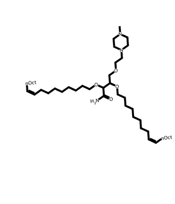 CCCCCCCC/C=C\CCCCCCCCOC(COCCN1CCN(C)CC1)C(OCCCCCCCC/C=C\CCCCCCCC)C(N)=O